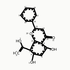 C=C(O)c1c(O)cc(O)c2c(=O)cc(-c3ccccc3)oc12